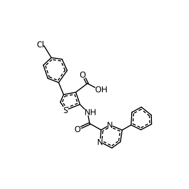 O=C(Nc1scc(-c2ccc(Cl)cc2)c1C(=O)O)c1nccc(-c2ccccc2)n1